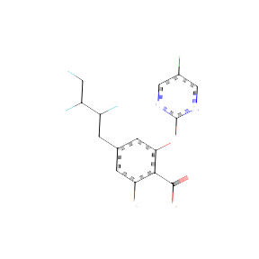 O=C(O)c1c(Br)cc(CC(F)C(F)CF)cc1Oc1ncc(Cl)cn1